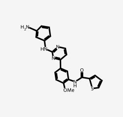 COc1ccc(-c2ccnc(Nc3cccc(N)c3)n2)cc1NC(=O)c1cccs1